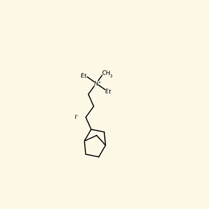 CC[N+](C)(CC)CCCC1CC2CCC1C2.[I-]